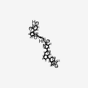 Cc1cc(-c2cc3cccc(-c4cnc5c(c4)n(C)c(=O)n5C)c3cn2)cnc1C(=O)NCC#Cc1cc2c(C3CCC(=O)NC3=O)cccc2o1